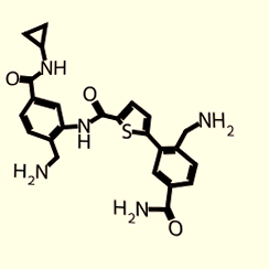 NCc1ccc(C(=O)NC2CC2)cc1NC(=O)c1ccc(-c2cc(C(N)=O)ccc2CN)s1